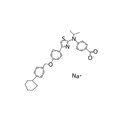 CC(C)N(c1ccc(C(=O)[O-])cc1)c1nc(-c2ccc(OCc3ccc(C4CCCCC4)cc3)cc2)cs1.[Na+]